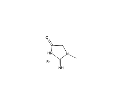 CN1CC(=O)NC1=N.[Fe]